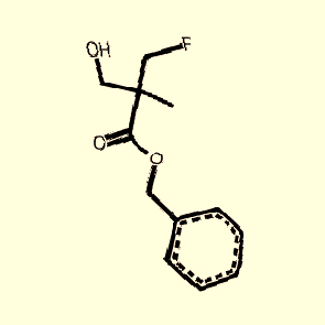 CC(CO)(CF)C(=O)OCc1ccccc1